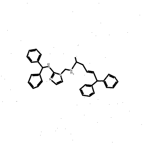 CC(CC=CC(c1ccccc1)c1ccccc1)[SiH2]Cn1ccnc1BC(c1ccccc1)c1ccccc1